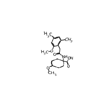 COc1cc(C)cc(C)c1CC(=O)NC1(C(=O)O)CCC(OC)CC1